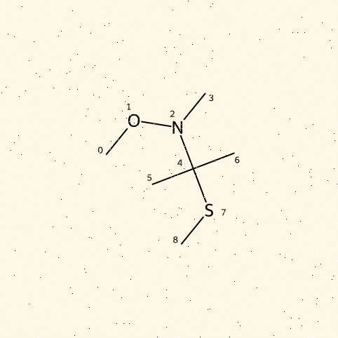 CON(C)C(C)(C)SC